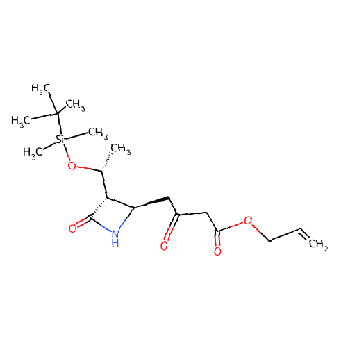 C=CCOC(=O)CC(=O)C[C@H]1NC(=O)[C@@H]1[C@@H](C)O[Si](C)(C)C(C)(C)C